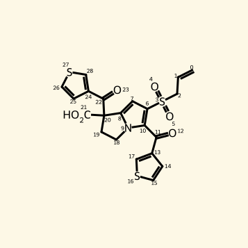 C=CCS(=O)(=O)c1cc2n(c1C(=O)c1ccsc1)CCC2(C(=O)O)C(=O)c1ccsc1